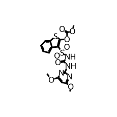 COC(=O)Oc1sc2ccccc2c1S(=O)(=O)NC(=O)Nc1nc(OC)cc(OC)n1